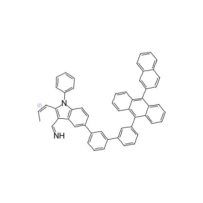 C/C=C\c1c(C=N)c2cc(-c3cccc(-c4cccc(-c5c6ccccc6c(-c6ccc7ccccc7c6)c6ccccc56)c4)c3)ccc2n1-c1ccccc1